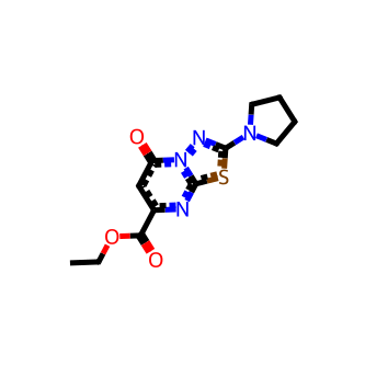 CCOC(=O)c1cc(=O)n2nc(N3CCCC3)sc2n1